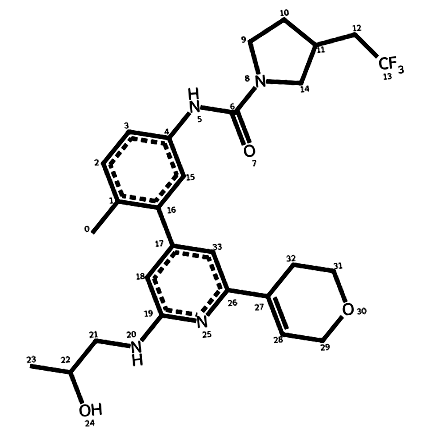 Cc1ccc(NC(=O)N2CCC(CC(F)(F)F)C2)cc1-c1cc(NCC(C)O)nc(C2=CCOCC2)c1